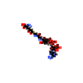 CC(C)(COP(=O)(O)OP(=O)(O)OC[C@H]1O[C@@H](n2cnc3c(N)ncnc32)[C@H](O)[C@@H]1OP(=O)(O)O)[C@@H](O)C(=O)NCCC(=O)NCCSC(=O)CC(=O)CCC(N)C(=O)O